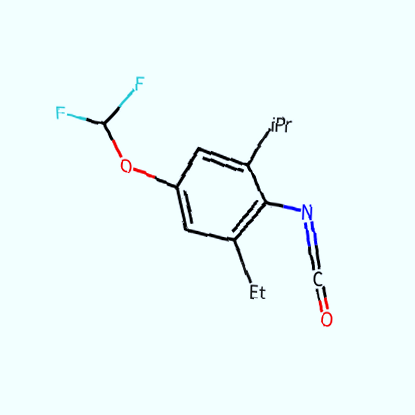 CCc1cc(OC(F)F)cc(C(C)C)c1N=C=O